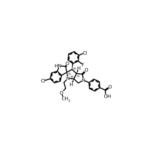 COCCN1[C@H]2CN(c3ccc(C(=O)O)cc3)C(=O)[C@H]2[C@H](c2cccc(Cl)c2F)[C@]12C(=O)Nc1cc(Cl)ccc12